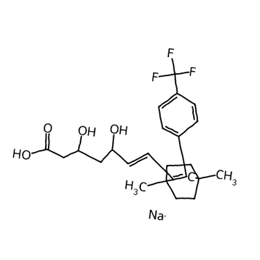 CC12CCC(C)(CC1)C(C=CC(O)CC(O)CC(=O)O)=C(c1ccc(C(F)(F)F)cc1)C2.[Na]